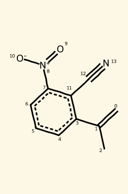 C=C(C)c1cccc([N+](=O)[O-])c1C#N